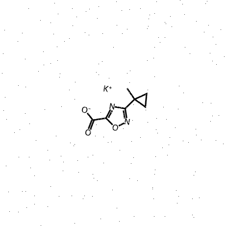 CC1(c2noc(C(=O)[O-])n2)CC1.[K+]